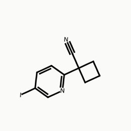 N#CC1(c2ccc(I)cn2)CCC1